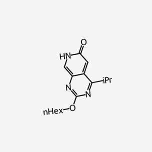 CCCCCCOc1nc(C(C)C)c2cc(=O)[nH]cc2n1